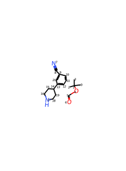 CC(C)(C)OC=O.N#Cc1cccc(C2CCNCC2)c1